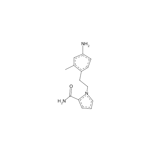 Cc1cc(N)ccc1CCn1cccc1C(N)=O